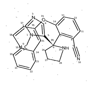 Cn1cncc1[C@]1(c2c(C#N)cccc2Oc2ccc3ccccc3c2)CCCN1